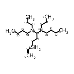 C=C[SiH2]CCC(N(CCC)CCCC)N(CCC)CCCC